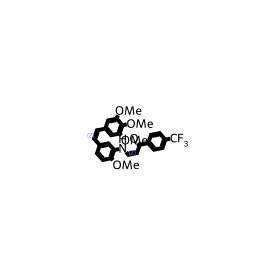 COc1ccc(/C=C\c2cc(OC)c(OC)c(OC)c2)cc1N/C=C\C(=O)c1ccc(C(F)(F)F)cc1